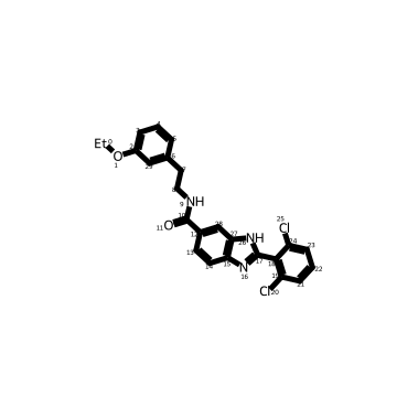 CCOc1cccc(CCNC(=O)c2ccc3nc(-c4c(Cl)cccc4Cl)[nH]c3c2)c1